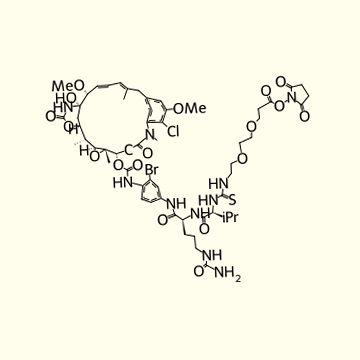 COc1cc2cc(c1Cl)N(C)C(=O)C[C@H](OC(=O)Nc1ccc(NC(=O)[C@H](CCCNC(N)=O)NC(=O)[C@@H](NC(=S)NCCOCCOCCC(=O)ON3C(=O)CCC3=O)C(C)C)cc1Br)[C@]1(C)O[C@H]1[C@H](C)[C@@H]1C[C@@](O)(NC(=O)O1)[C@H](OC)/C=C/C=C(\C)C2